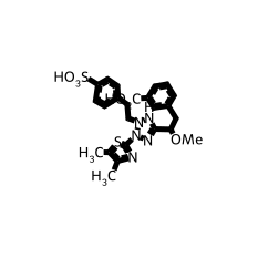 COC(Cc1cccc(C(=O)O)c1)C1=NN(c2nc(C)c(C)s2)N(CCc2ccc(S(=O)(=O)O)cc2)N1